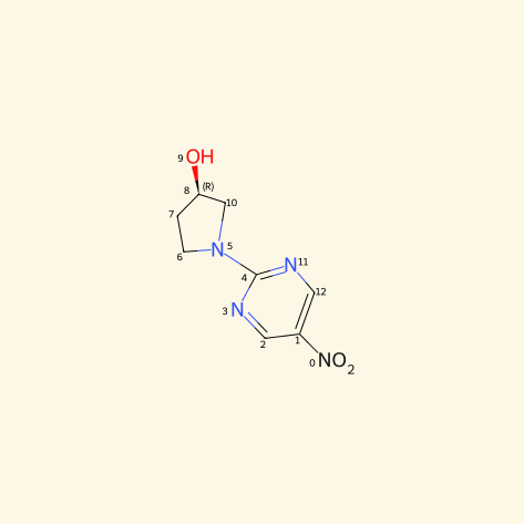 O=[N+]([O-])c1cnc(N2CC[C@@H](O)C2)nc1